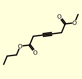 CCCOC(=O)CC#CCC(=O)OC